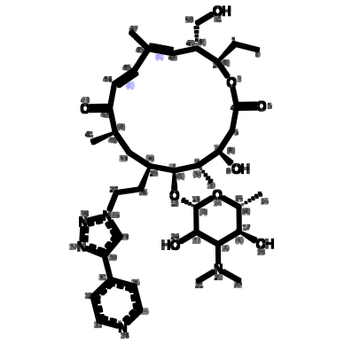 CC[C@H]1OC(=O)C[C@@H](O)[C@H](C)[C@@H](O[C@@H]2O[C@H](C)[C@@H](O)C(N(C)C)C2O)[C@@H](CCn2cc(-c3ccncc3)nn2)C[C@@H](C)C(=O)/C=C/C(C)=C/[C@@H]1CO